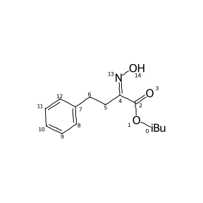 CCC(C)OC(=O)C(CCc1ccccc1)=NO